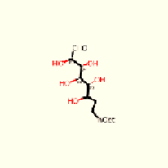 CCCCCCCCCCC(O)[C@@H](O)[C@@H](O)[C@H](O)[C@@H](O)C=O